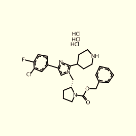 Cl.Cl.Cl.O=C(OCc1ccccc1)N1CCC[C@@H]1Cn1cc(-c2ccc(F)c(Cl)c2)nc1C1CCNCC1